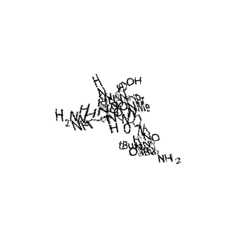 CC[C@H](C)[C@H](NC(=O)C(C)(C)C)C(=O)N[C@@H](CCCCN)C(=O)N1CCN(c2ccc3ncn(CC(=O)N[C@@H](CCCNC(=N)N)C(=O)N[C@@H](Cc4c[nH]cn4)C(=O)N[C@@H](Cc4ccc(O)cc4)C(=O)N[C@@H](CC(C)C)C(=O)NC)c(=O)c3c2)CC1